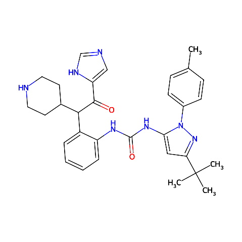 Cc1ccc(-n2nc(C(C)(C)C)cc2NC(=O)Nc2ccccc2C(C(=O)c2cnc[nH]2)C2CCNCC2)cc1